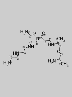 CC(N)COCC(C)NCCC(=O)N(CCN)CCNCCNCCN